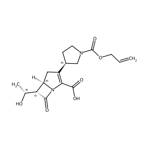 C=CCOC(=O)N1CC[C@H](C2=C(C(=O)O)N3C(=O)[C@H]([C@@H](C)O)[C@H]3C2)C1